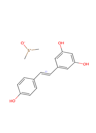 C[S+](C)[O-].Oc1ccc(/C=C/c2cc(O)cc(O)c2)cc1